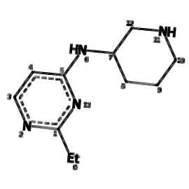 CCc1nccc(NC2CCCNC2)n1